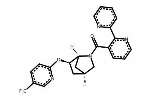 O=C(c1cccnc1-c1ccccn1)N1C[C@H]2C[C@@H](Oc3ccc(C(F)(F)F)cn3)[C@@H]1C2